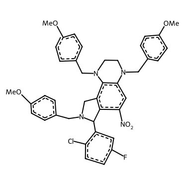 COc1ccc(CN2CCN(Cc3ccc(OC)cc3)c3c2cc([N+](=O)[O-])c2c3CN(Cc3ccc(OC)cc3)C2c2cc(F)ccc2Cl)cc1